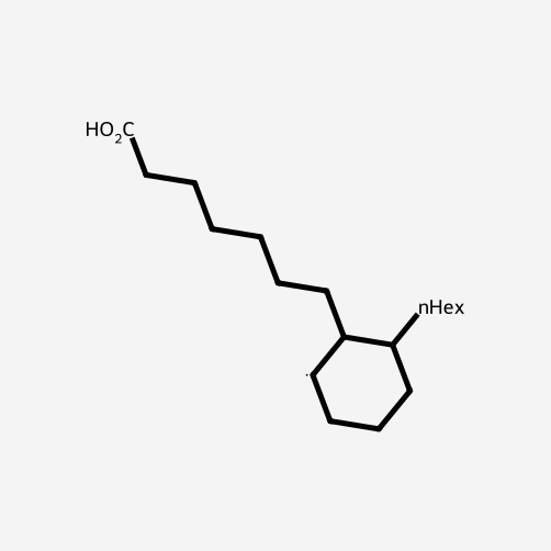 CCCCCCC1CCC[CH]C1CCCCCCC(=O)O